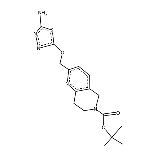 CC(C)(C)OC(=O)N1CCc2nc(COc3nnc(N)s3)ccc2C1